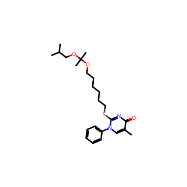 Cc1cn(-c2ccccc2)c(SCCCCCCOC(C)(C)OCC(C)C)nc1=O